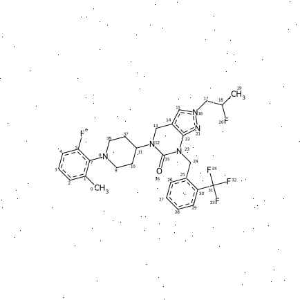 Cc1cccc(F)c1N1CCC(N2Cc3cn(CC(C)F)nc3N(Cc3ccccc3C(F)(F)F)C2=O)CC1